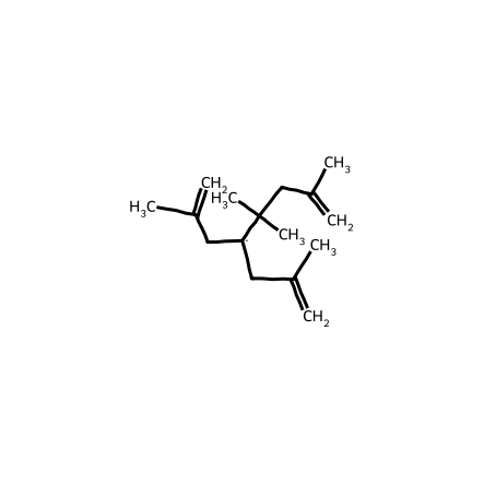 C=C(C)C[C](CC(=C)C)C(C)(C)CC(=C)C